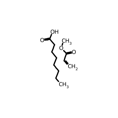 C=CC(=O)OC.CCCCCCCC(=O)O